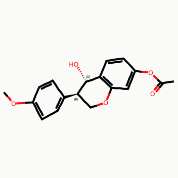 COc1ccc([C@@H]2COc3cc(OC(C)=O)ccc3[C@H]2O)cc1